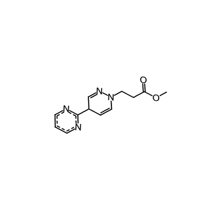 COC(=O)CCN1C=CC(c2ncccn2)C=N1